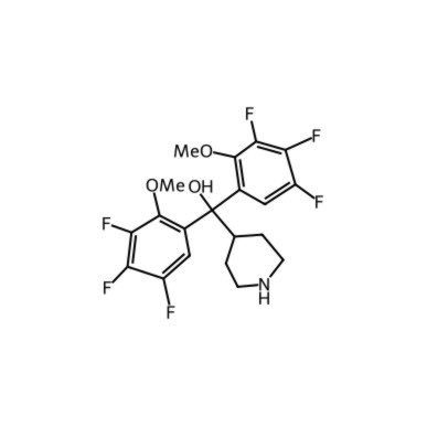 COc1c(C(O)(c2cc(F)c(F)c(F)c2OC)C2CCNCC2)cc(F)c(F)c1F